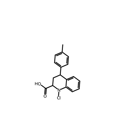 Cc1ccc(C2CC(C(=O)O)N(Cl)c3ccccc32)cc1